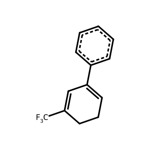 FC(F)(F)C1=CC(c2ccccc2)=CCC1